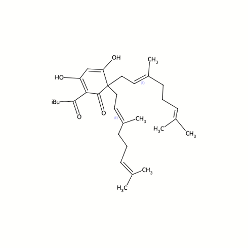 CCC(C)C(=O)C1=C(O)C=C(O)C(C/C=C(\C)CCC=C(C)C)(C/C=C(\C)CCC=C(C)C)C1=O